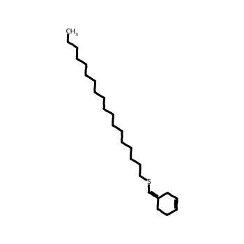 CCCCCCCCCCCCCCCCCCSC=C1CC=CCC1